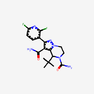 CC(C)(C)C1c2c(C(N)=O)c(-c3ccc(F)nc3F)nn2CCN1C(N)=O